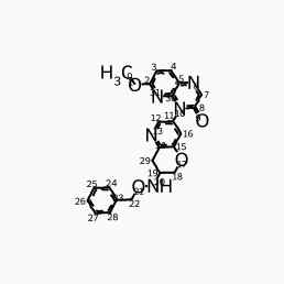 COc1ccc2ncc(=O)n(-c3cnc4c(c3)OCC(NOCc3ccccc3)C4)c2n1